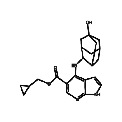 O=C(OCC1CC1)c1cnc2[nH]ccc2c1NC1C2CC3CC1CC(O)(C3)C2